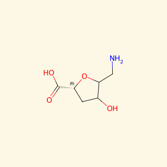 NCC1O[C@@H](C(=O)O)CC1O